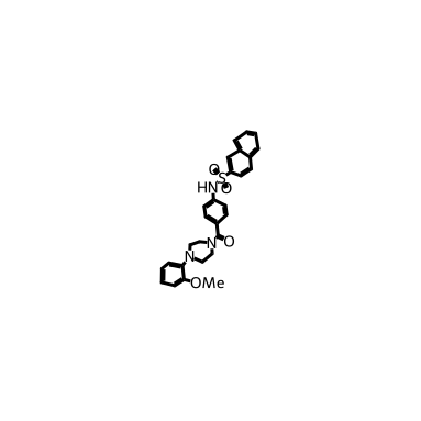 COc1ccccc1N1CCN(C(=O)c2ccc(NS(=O)(=O)c3ccc4ccccc4c3)cc2)CC1